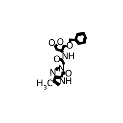 Cc1c[nH]c2c(=O)n(CC(=O)NC3CC(=O)OC3OCc3ccccc3)cnc12